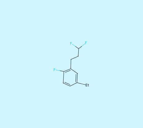 CCc1ccc(F)c(CCC(F)F)c1